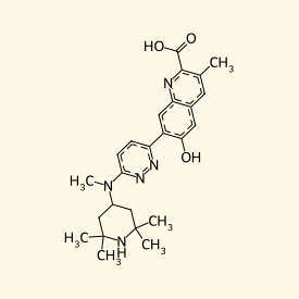 Cc1cc2cc(O)c(-c3ccc(N(C)C4CC(C)(C)NC(C)(C)C4)nn3)cc2nc1C(=O)O